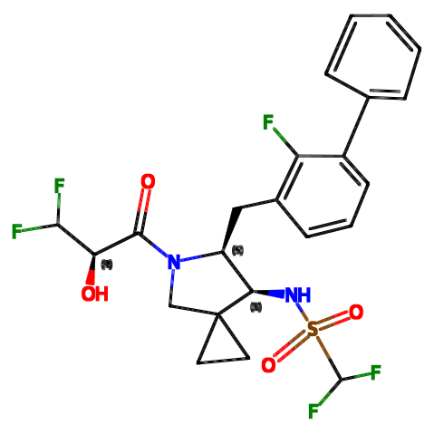 O=C([C@@H](O)C(F)F)N1CC2(CC2)[C@H](NS(=O)(=O)C(F)F)[C@@H]1Cc1cccc(-c2ccccc2)c1F